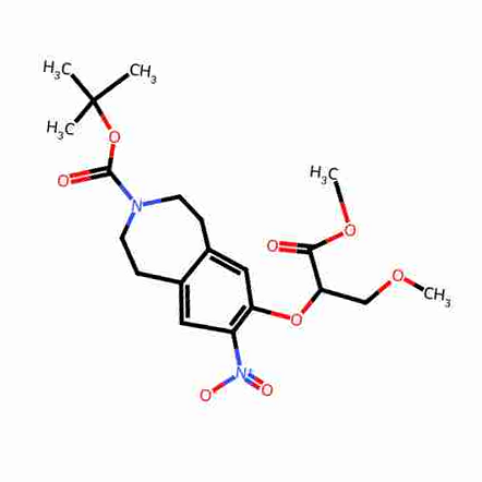 COCC(Oc1cc2c(cc1[N+](=O)[O-])CCN(C(=O)OC(C)(C)C)CC2)C(=O)OC